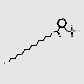 CCCCCCCCCCCCCOC(=O)c1ccccc1OS(=O)(=O)O